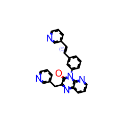 O=c1c(Cc2cccnc2)nc2cccnc2n1-c1cccc(/C=C/c2cccnc2)c1